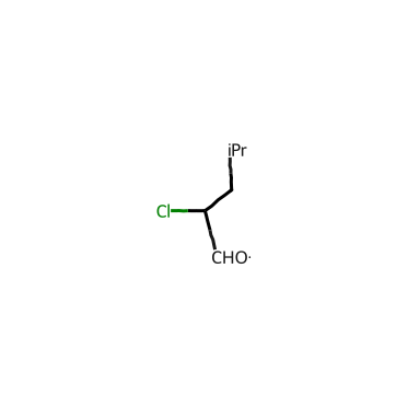 CC(C)CC(Cl)[C]=O